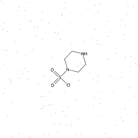 O=S(=O)(Cl)N1CCNCC1